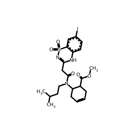 COC(=O)C1CC=CCC1N(CCC(C)C)C(=O)CC1=NS(=O)(=O)c2cc(I)ccc2N1